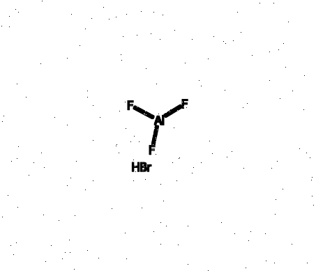 Br.[F][Al]([F])[F]